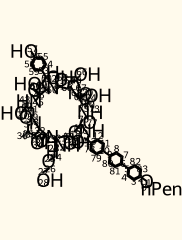 CCCCCOc1ccc(-c2ccc(-c3ccc(C(=O)N[C@H]4C[C@@H](O)C(NCCOCCO)NC(=O)C5[C@@H](O)[C@@H](C)CN5C(=O)C([C@@H](C)O)NC(=O)C([C@H](O)[C@@H](O)c5ccc(O)cc5)NC(=O)C5C[C@@H](O)CN5C(=O)C([C@@H](C)O)NC4=O)cc3)cc2)cc1